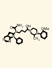 COc1ccccc1N1CCN(C(O)CCCN(C(N)=O)c2cc3cncnc3n2-c2ccccc2)CC1C